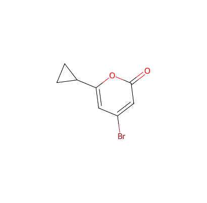 O=c1cc(Br)cc(C2CC2)o1